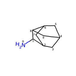 NC1C2CC3CC(C2)C1C3